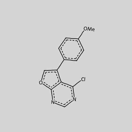 COc1ccc(-c2coc3ncnc(Cl)c23)cc1